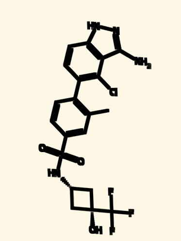 Cc1cc(S(=O)(=O)N[C@H]2C[C@](O)(C(F)(F)F)C2)ccc1-c1ccc2[nH]nc(N)c2c1Cl